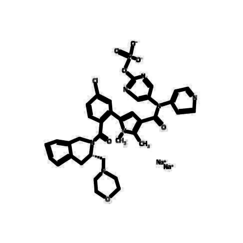 Cc1c(C(=O)N(c2ccncc2)c2cnc(OP(=O)([O-])[O-])nc2)cc(-c2cc(Cl)ccc2C(=O)N2Cc3ccccc3C[C@H]2CN2CCOCC2)n1C.[Na+].[Na+]